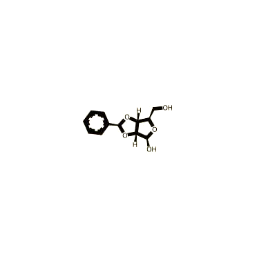 OC[C@H]1O[C@@H](O)[C@@H]2O[C@@H](c3ccccc3)O[C@@H]21